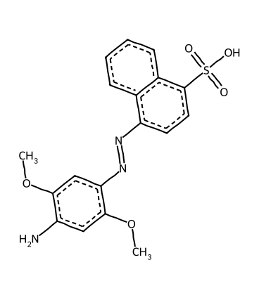 COc1cc(N=Nc2ccc(S(=O)(=O)O)c3ccccc23)c(OC)cc1N